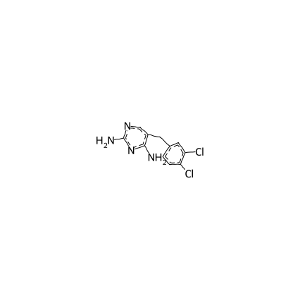 Nc1ncc(Cc2ccc(Cl)c(Cl)c2)c(N)n1